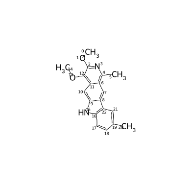 COc1nc(C)c2cc3c(cc2c1OC)[nH]c1ccc(C)cc13